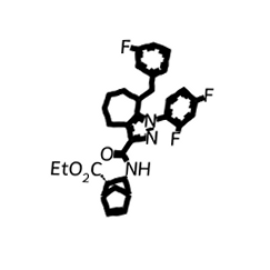 CCOC(=O)[C@H]1C2C=CC(C2)[C@H]1NC(=O)c1nn(-c2ccc(F)cc2F)c2c1CCCCC2Cc1cccc(F)c1